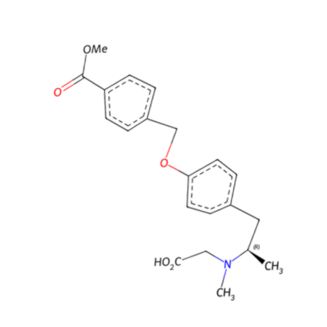 COC(=O)c1ccc(COc2ccc(C[C@@H](C)N(C)CC(=O)O)cc2)cc1